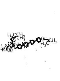 CC(C)CCOc1ccc(-c2ccc(-c3cnc(-c4ccc(C[C@H](NC(=O)c5ccc(C(C)(C)C)s5)C(=O)N[C@H](C)C(=O)O)cc4)nc3)cc2)cc1